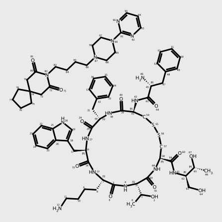 CC(O)[C@@H]1NC(=O)[C@H](CCCCN)NC(=O)[C@@H](Cc2c[nH]c3ccccc23)NC(=O)[C@H](Cc2ccccc2)NC(=O)[C@@H](NC(=O)[C@H](N)Cc2ccccc2)CSSC[C@@H](C(=O)N[C@H](CO)[C@@H](C)O)NC1=O.O=C1CC2(CCCC2)CC(=O)N1CCCCN1CCN(c2ncccn2)CC1